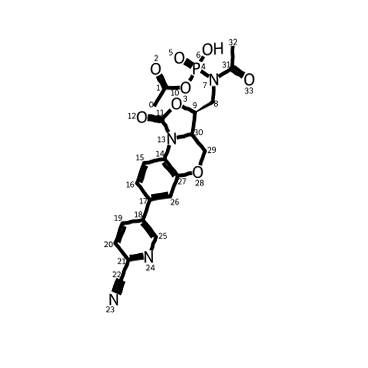 CC(=O)OP(=O)(O)N(C[C@@H]1OC(=O)N2c3ccc(-c4ccc(C#N)nc4)cc3OCC12)C(C)=O